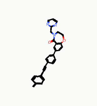 Cc1ccc(C#Cc2ccc(-c3ccc4c(c3)C(=O)N(Cc3ncccn3)CCO4)cc2)cc1